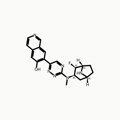 CN(c1ncc(-c2cc3cnccc3cc2O)nn1)[C@@H]1C[C@H]2CC[C@H](N2)[C@@H]1F